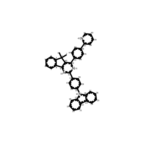 CC1(C)c2ccccc2-c2nc(-c3ccc(-n4c5ccccc5c5ccccc54)cc3)nc(-c3ccc(-c4ccccn4)cc3)c21